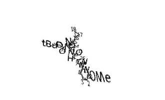 COc1cccc(-n2cc(CC(=O)Nc3cc(C4CC4)nn3C(=O)OC(C)(C)C)cn2)n1